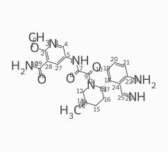 COc1ncc(NC(=O)C(=O)N2C[C@H](C)CC[C@H]2c2cccc(N)c2C=N)cc1C(N)=O